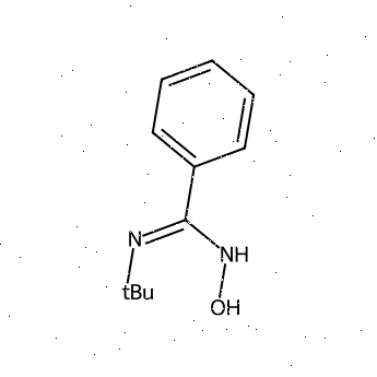 CC(C)(C)/N=C(\NO)c1ccccc1